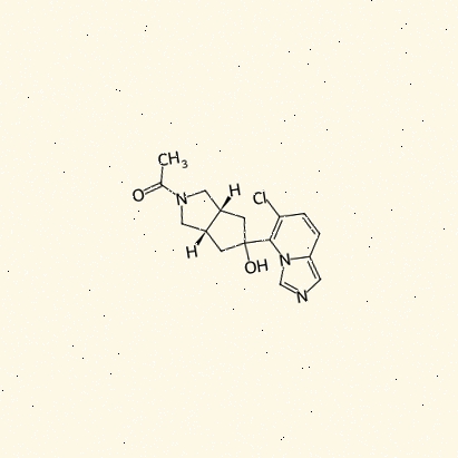 CC(=O)N1C[C@@H]2CC(O)(c3c(Cl)ccc4cncn34)C[C@@H]2C1